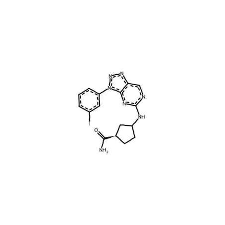 NC(=O)[C@@H]1CCC(Nc2ncc3nnn(-c4cccc(I)c4)c3n2)C1